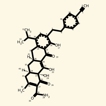 C#Cc1ccc(CCc2cc(C(C)C)c3c(c2O)C(=O)C2=C(O)[C@@]4(O)C(=O)C(C(N)=O)=C(C)C[C@H]4C[C@H]2C3)cc1